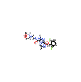 Cc1cn2c(C(=O)NCCN3CCOCC3)c(C)nc2c(OCc2c(F)cccc2F)n1